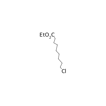 CCOC(=O)CCCCCCCCCl